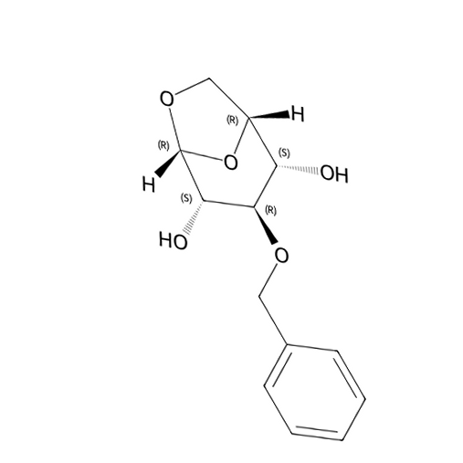 O[C@@H]1[C@@H]2OC[C@@H](O2)[C@H](O)[C@H]1OCc1ccccc1